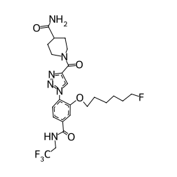 NC(=O)C1CCN(C(=O)c2cn(-c3ccc(C(=O)NCC(F)(F)F)cc3OCCCCCCF)nn2)CC1